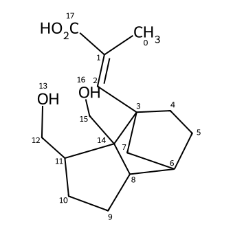 CC(=CC12CCC(C1)C1CCC(CO)C12CO)C(=O)O